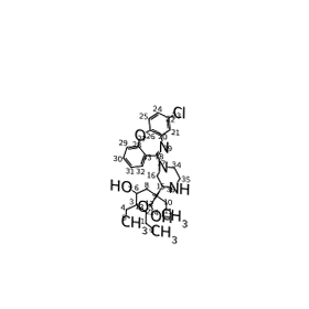 CCCC(CC)C(O)CC(CC)(C(=O)O)[C@H]1CN(C2=Nc3cc(Cl)ccc3Oc3ccccc32)CCN1